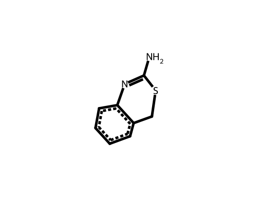 NC1=Nc2ccccc2CS1